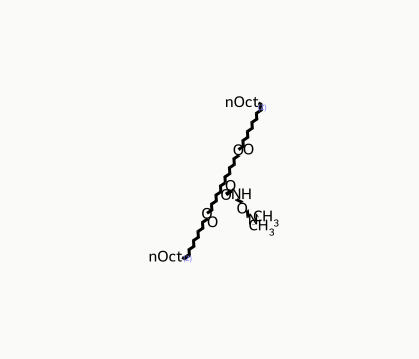 CCCCCCCC/C=C\CCCCCCCC(=O)OCCCCCCC(CCCCCCOC(=O)CCCCCCC/C=C\CCCCCCCC)OC(=O)NCCOCCN(C)C